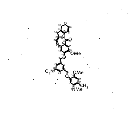 CNc1cc(OCc2cc(COc3cc4c(cc3OC)C(=O)N3C(=C=N4)CC4=C3C=CCC4)cc([N+](=O)[O-])c2)c(OC)cc1C